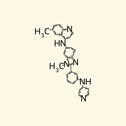 Cc1ccc2nccc(Nc3ccc4nc(-c5cccc(Nc6ccncc6)c5)n(C)c4c3)c2c1